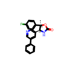 C[C@]1(c2ccc(F)cc2)OC(=O)N[C@H]1c1cncc(-c2ccccc2)c1